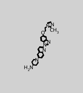 Cc1nccn1CCOc1ccc2c(c1)ncn2-c1ccc2cc(N3CCC(N)CC3)ccc2n1